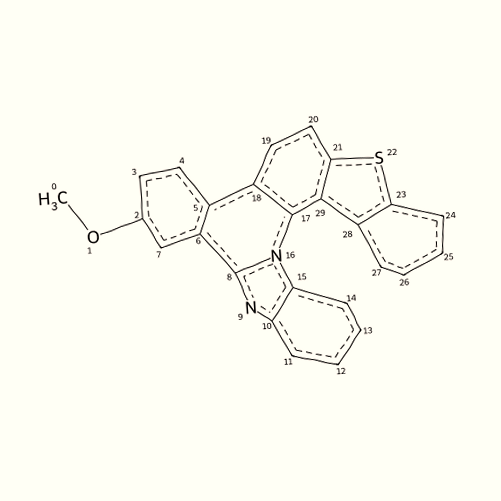 COc1ccc2c(c1)c1nc3ccccc3n1c1c2ccc2sc3ccccc3c21